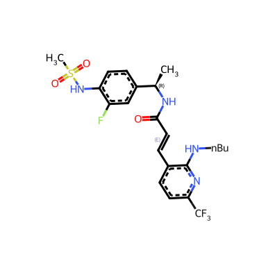 CCCCNc1nc(C(F)(F)F)ccc1/C=C/C(=O)N[C@H](C)c1ccc(NS(C)(=O)=O)c(F)c1